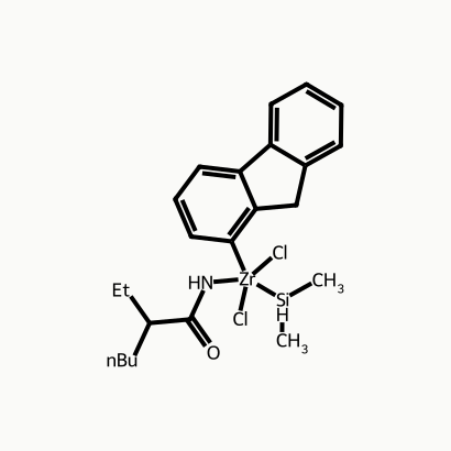 CCCCC(CC)C(=O)[NH][Zr]([Cl])([Cl])([c]1cccc2c1Cc1ccccc1-2)[SiH](C)C